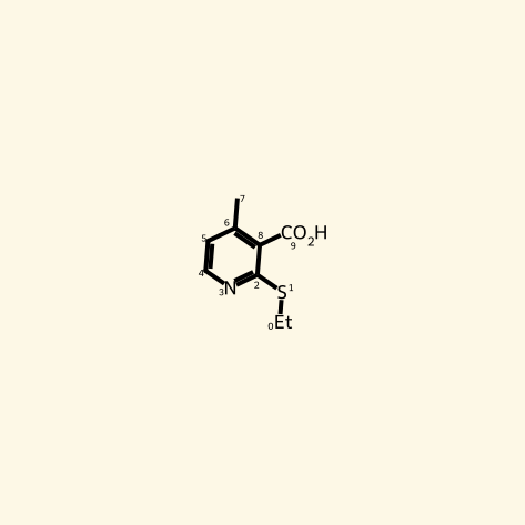 CCSc1nccc(C)c1C(=O)O